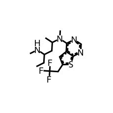 CCC(CC(C)N(C)c1ncnc2sc(CC(F)(F)F)cc12)NC